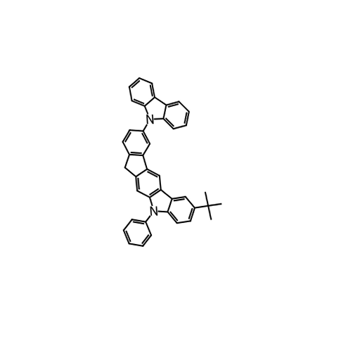 CC(C)(C)c1ccc2c(c1)c1cc3c(cc1n2-c1ccccc1)Cc1ccc(-n2c4ccccc4c4ccccc42)cc1-3